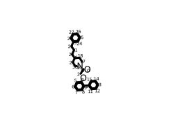 O=C(COc1ccccc1-c1ccccc1)N1CCC(CCCc2ccccc2)CC1